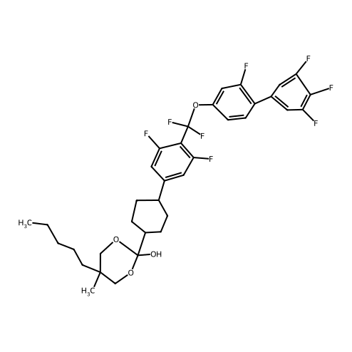 CCCCCC1(C)COC(O)(C2CCC(c3cc(F)c(C(F)(F)Oc4ccc(-c5cc(F)c(F)c(F)c5)c(F)c4)c(F)c3)CC2)OC1